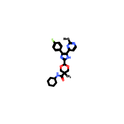 COc1nccc(-c2[nH]c(C3OCC(C)(C(=O)NC4CCCCC4)CO3)nc2-c2ccc(F)cc2)n1